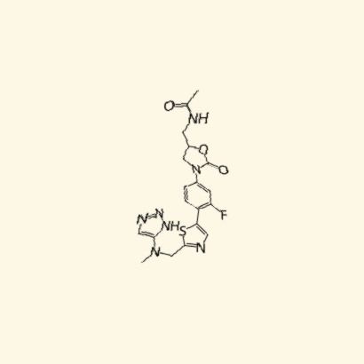 CC(=O)NCC1CN(c2ccc(-c3cnc(CN(C)c4cnn[nH]4)s3)c(F)c2)C(=O)O1